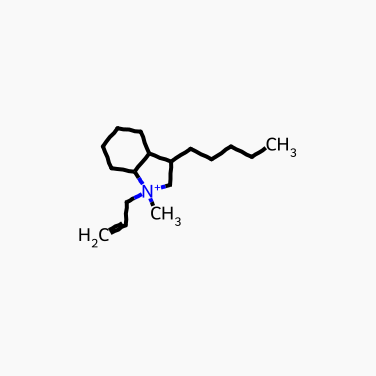 C=CC[N+]1(C)CC(CCCCC)C2CCCCC21